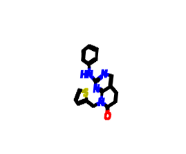 O=c1ccc2cnc(Nc3ccccc3)nc2n1Cc1cccs1